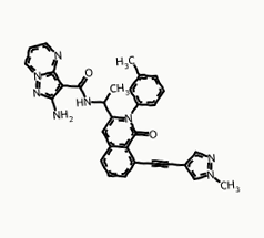 Cc1cccc(-n2c(C(C)NC(=O)c3c(N)nn4cccnc34)cc3cccc(C#Cc4cnn(C)c4)c3c2=O)c1